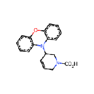 O=C(O)N1CC=CC(N2c3ccccc3Oc3ccccc32)C1